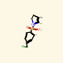 O=S(=O)(c1ccc(CBr)cc1)N1CCCC1